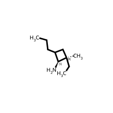 CCCC1C[C@@](C)(CC)[C@H]1N